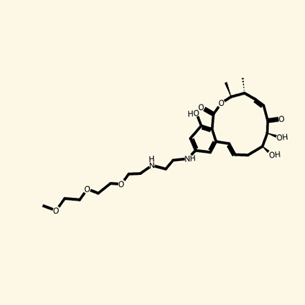 COCCOCCOCCNCCNc1cc(O)c2c(c1)/C=C/C[C@H](O)[C@H](O)C(=O)/C=C\[C@@H](C)[C@H](C)OC2=O